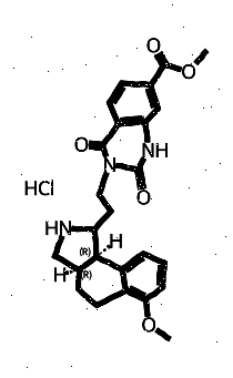 COC(=O)c1ccc2c(=O)n(CCC3NC[C@@H]4CCc5c(OC)cccc5[C@H]34)c(=O)[nH]c2c1.Cl